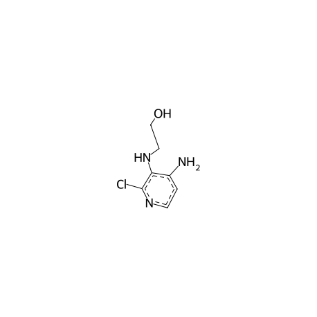 Nc1ccnc(Cl)c1NCCO